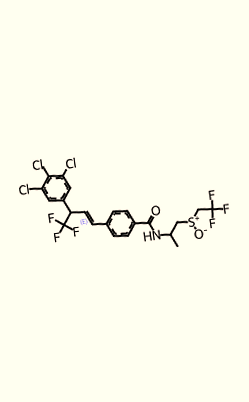 CC(C[S+]([O-])CC(F)(F)F)NC(=O)c1ccc(/C=C/C(c2cc(Cl)c(Cl)c(Cl)c2)C(F)(F)F)cc1